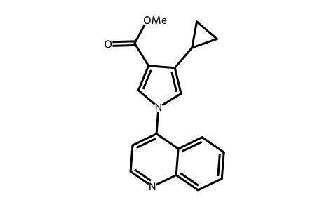 COC(=O)c1cn(-c2ccnc3ccccc23)cc1C1CC1